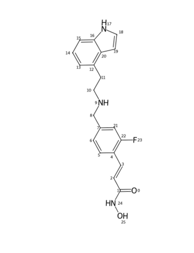 O=C(/C=C/c1ccc(CNCCc2cccc3[nH]ccc23)cc1F)NO